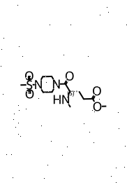 CN[C@@H](CCC(=O)OC)C(=O)N1CCN(S(C)(=O)=O)CC1